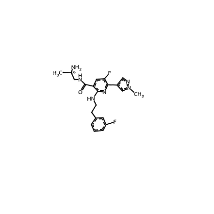 C[C@@H](N)CNC(=O)c1cc(F)c(-c2cnn(C)c2)nc1NCCc1cccc(F)c1